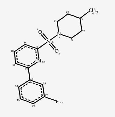 CC1CCN(S(=O)(=O)c2cccc(-c3cccc(F)c3)n2)CC1